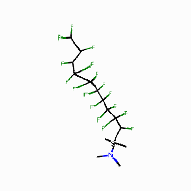 CN(C)[Si](C)(C)C(F)C(F)(F)C(F)(F)C(F)(F)C(F)(F)C(F)(F)C(F)(F)C(F)C(F)C(F)F